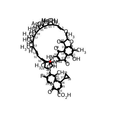 CO[C@H]1/C=C/O[C@@]2(C)Oc3c(C)c(O)c4c(c3C2=O)C(=O)C(NC2CCN(c3c(F)cn5c(=O)c(C(=O)O)cc(C6CC6)c5c3C)C2)=C(NC(=O)/C(C)=C\C=C\[C@H](C)[C@H](O)[C@@H](C)[C@@H](O)[C@@H](C)[C@H](OC(C)=O)[C@@H]1C)C4=O